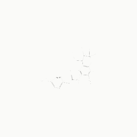 CCCOC1c2cc(NC(=O)Cc3ccc(OC)cc3)c([N+](=O)[O-])cc2OC(C)(C)C1O